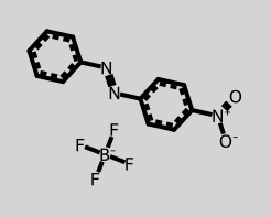 F[B-](F)(F)F.O=[N+]([O-])c1ccc(N=Nc2ccccc2)cc1